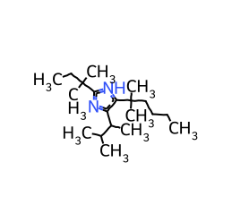 CCCCC(C)(C)c1[nH]c(C(C)(C)CC)nc1C(C)C(C)C